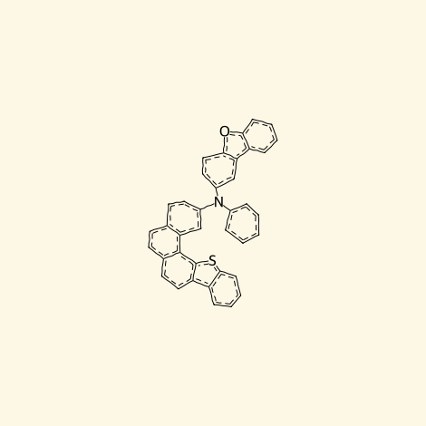 c1ccc(N(c2ccc3oc4ccccc4c3c2)c2ccc3ccc4ccc5c6ccccc6sc5c4c3c2)cc1